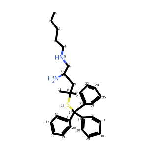 CCCCCNCC(N)CC(C)(C)SC(c1ccccc1)(c1ccccc1)c1ccccc1